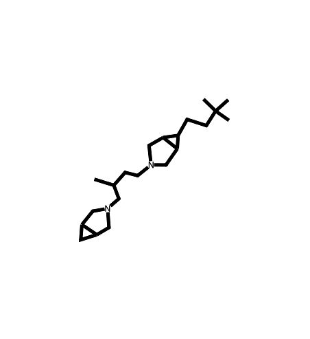 CC(CCN1CC2C(CCC(C)(C)C)C2C1)CN1CC2CC2C1